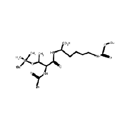 CC(C)C(=O)NC(C(=O)NC(CCCCNC(=O)OC(C)(C)C)C(=O)O)C(C)O[Si](C)(C)C(C)(C)C